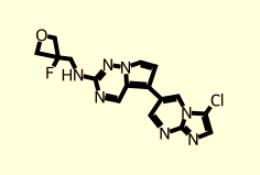 FC1(CNc2ncc3c(-c4cnc5ncc(Cl)n5c4)ccn3n2)COC1